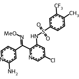 CO/N=C(\c1ccnc(N)c1)c1ncc(Cl)cc1NS(=O)(=O)c1ccc(C)c(C(F)(F)F)c1